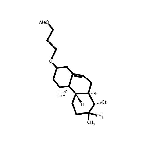 CC[C@H]1[C@@H]2CC=C3CC(OCCCOC)CC[C@]3(C)[C@H]2CCC1(C)C